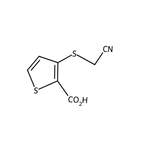 N#CCSc1ccsc1C(=O)O